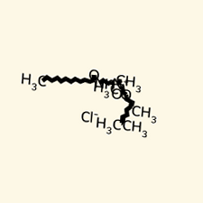 CCCCCCCCCCCC(=O)NCCC[N+](C)(C)CC(=O)OCC=C(C)CCC=C(C)C.[Cl-]